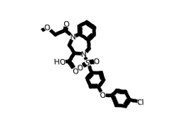 COCC(=O)N1CC(C(=O)O)N(S(=O)(=O)c2ccc(Oc3ccc(Cl)cc3)cc2)Cc2ccccc21